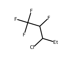 CCC(Cl)C(F)C(F)(F)F